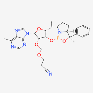 CC[C@H]1O[C@@H](n2cnc3c(C)ncnc32)[C@@H](OCOCCC#N)C1O[P@@]1O[C@](C)(c2ccccc2)[C@@H]2CCCN21